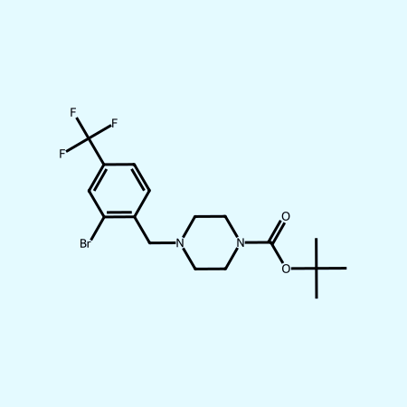 CC(C)(C)OC(=O)N1CCN(Cc2ccc(C(F)(F)F)cc2Br)CC1